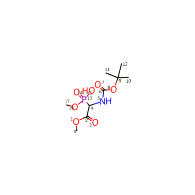 COC(=O)C(NC(=O)OC(C)(C)C)P(=O)(O)OC